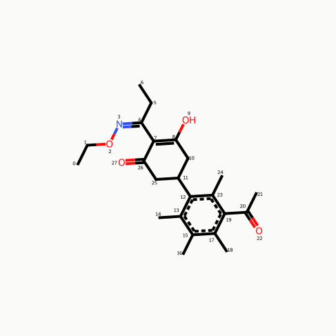 CCO/N=C(/CC)C1=C(O)CC(c2c(C)c(C)c(C)c(C(C)=O)c2C)CC1=O